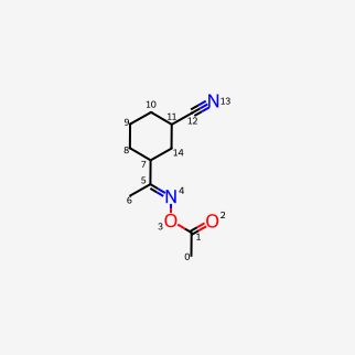 CC(=O)ON=C(C)C1CCCC(C#N)C1